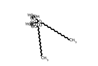 CCCCCCCCCCCCCCCCCC(=O)OC(COP(=O)(O)O)C(COP(=O)(O)O)OC(=O)CCCCCCCCCCCCCCCCC